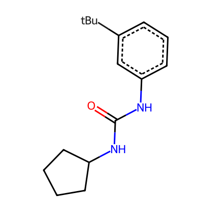 CC(C)(C)c1cccc(NC(=O)NC2CCCC2)c1